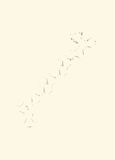 c1ccc2c(c1)sc1c(-c3ccc(-c4ccc5cc(-c6ccc7cc(-c8ccc9c%10ccccc%10c%10nccnc%10c9c8)ccc7c6)ccc5c4)cc3)cccc12